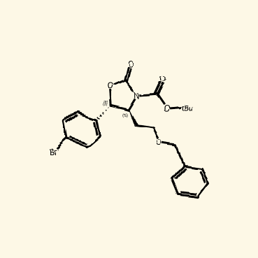 CC(C)(C)OC(=O)N1C(=O)O[C@@H](c2ccc(Br)cc2)[C@@H]1CCOCc1ccccc1